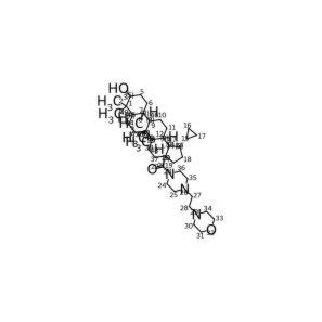 CC1(C)[C@@H](O)CC[C@]2(C)[C@H]3CC[C@@H]4[C@H]5[C@H](C6CC6)CC[C@]5(C(=O)N5CCN(CCN6CCOCC6)CC5)CC[C@@]4(C)[C@]3(C)CC[C@@H]12